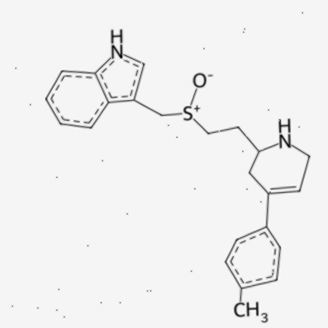 Cc1ccc(C2=CCNC(CC[S+]([O-])Cc3c[nH]c4ccccc34)C2)cc1